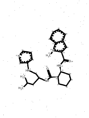 CC(C)CC(CNc1cccnc1)NC(=O)[C@@H]1CCCC[C@@H]1NC(=O)c1cc2ccccc2n1C